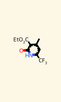 CCOC(=O)c1c(C)cc(C(F)(F)F)[nH]c1=O